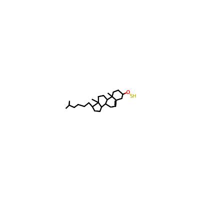 CC(C)CCCCC1CCC2C3CC=C4CC(OS)CCC4(C)C3CCC12C